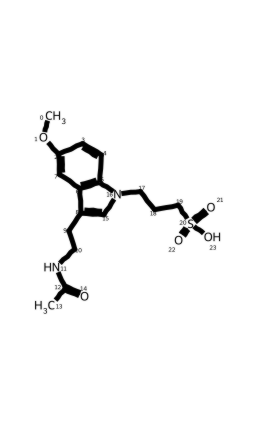 COc1ccc2c(c1)c(CCNC(C)=O)cn2CCCS(=O)(=O)O